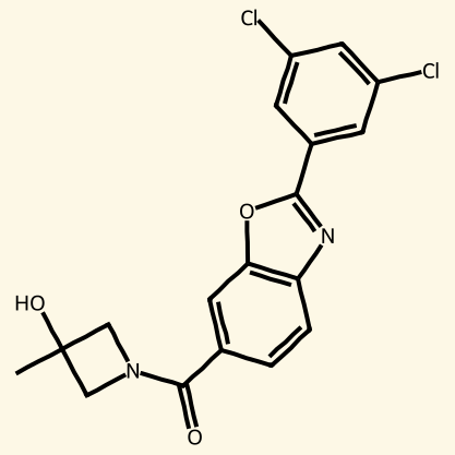 CC1(O)CN(C(=O)c2ccc3nc(-c4cc(Cl)cc(Cl)c4)oc3c2)C1